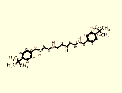 CC(C)(C)c1ccc(CNCCNCCNCCNCc2ccc(C(C)(C)C)cc2)cc1